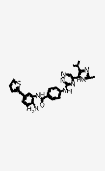 Cc1nc(C(C)C)c(-c2cnnc(Nc3ccc(C(=O)Nc4cc(-c5cccs5)ccc4N)cc3)n2)[nH]1